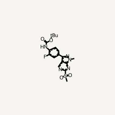 Cn1nc(-c2ccc(NC(=O)OC(C)(C)C)c(F)c2)c2cnc(S(C)(=O)=O)nc21